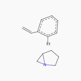 C1CC2CN2C1.C=Cc1ccccc1CC